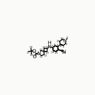 CN1CC=C(c2cc(NC3CC4(CCN(C(=O)OC(C)(C)C)C4)C3)ccc2C#N)CC1